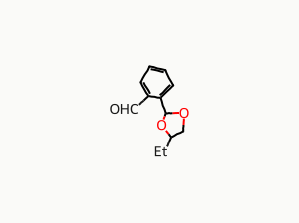 CCC1COC(c2ccccc2C=O)O1